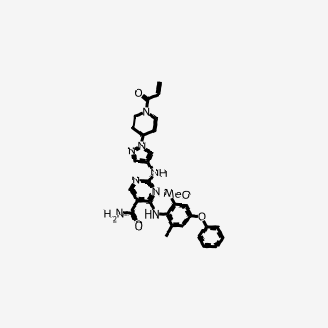 C=CC(=O)N1CCC(n2cc(Nc3ncc(C(N)=O)c(Nc4c(C)cc(Oc5ccccc5)cc4OC)n3)cn2)CC1